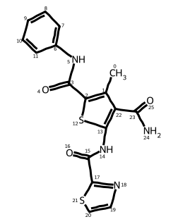 Cc1c(C(=O)Nc2ccccc2)sc(NC(=O)c2nccs2)c1C(N)=O